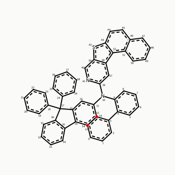 c1ccc(-c2ccccc2N(c2ccc3c(c2)C(c2ccccc2)(c2ccccc2)c2ccccc2-3)c2cc3c(cn2)sc2ccc4ccccc4c23)cc1